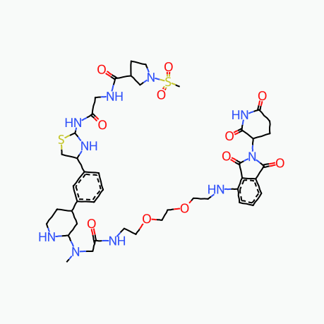 CN(CC(=O)NCCOCCOCCNc1cccc2c1C(=O)N(C1CCC(=O)NC1=O)C2=O)C1CC(c2cccc(C3CSC(NC(=O)CNC(=O)C4CCN(S(C)(=O)=O)C4)N3)c2)CCN1